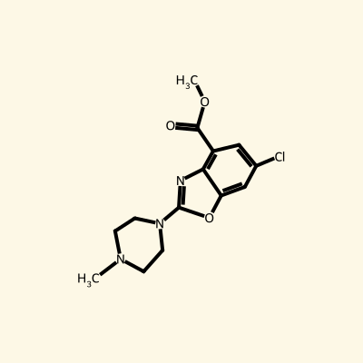 COC(=O)c1cc(Cl)cc2oc(N3CCN(C)CC3)nc12